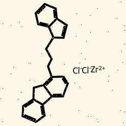 C1=CC(CCCc2cccc3c2Cc2ccccc2-3)c2ccccc21.[Cl-].[Cl-].[Zr+2]